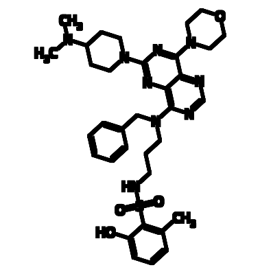 Cc1cccc(O)c1S(=O)(=O)NCCCN(Cc1ccccc1)c1ncnc2c(N3CCOCC3)nc(N3CCC(N(C)C)CC3)nc12